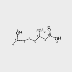 CC(O)CCCC(N)CC(=O)O